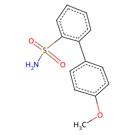 COc1ccc(-c2ccccc2S(N)(=O)=O)cc1